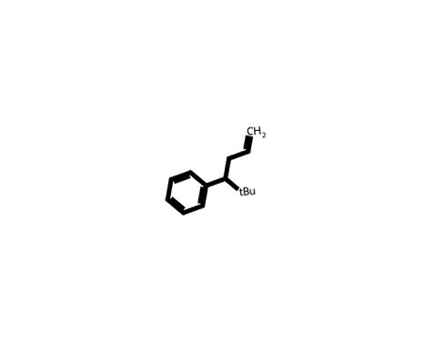 C=CCC(c1ccccc1)C(C)(C)C